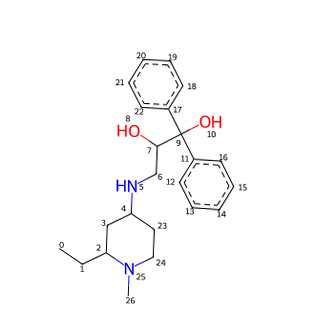 CCC1CC(NCC(O)C(O)(c2ccccc2)c2ccccc2)CCN1C